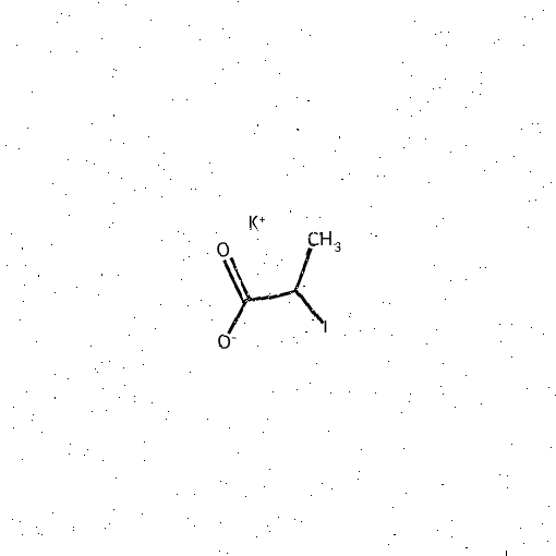 CC(I)C(=O)[O-].[K+]